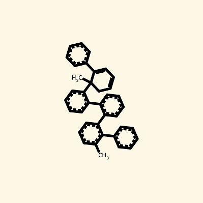 Cc1cccc(-c2ccccc2-c2ccccc2C2(C)CC=CC=C2c2ccccc2)c1-c1ccccc1